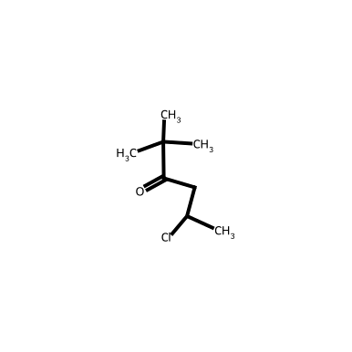 CC(Cl)CC(=O)C(C)(C)C